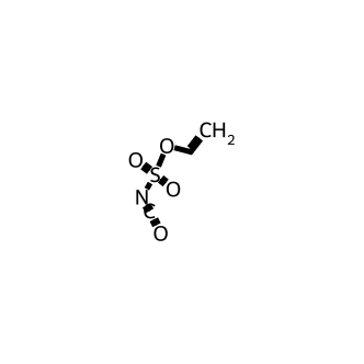 C=COS(=O)(=O)N=C=O